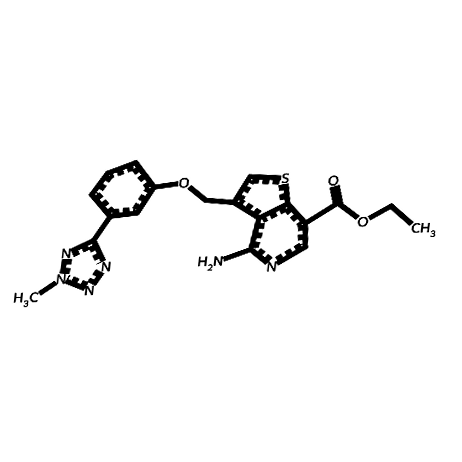 CCOC(=O)c1cnc(N)c2c(COc3cccc(-c4nnn(C)n4)c3)csc12